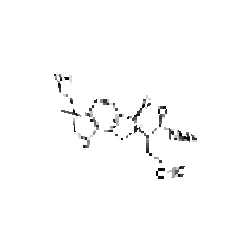 CNC(=O)C(CCC=O)N1Cc2c(ccc3c2OCC3(C)CCO)C1=O